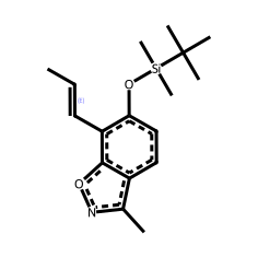 C/C=C/c1c(O[Si](C)(C)C(C)(C)C)ccc2c(C)noc12